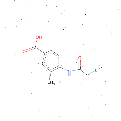 Cc1cc(C(=O)O)ccc1NC(=O)CCl